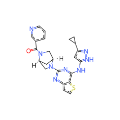 O=C(c1cccnc1)N1C[C@@H]2C[C@H]1CN2c1nc(Nc2cc(C3CC3)n[nH]2)c2sccc2n1